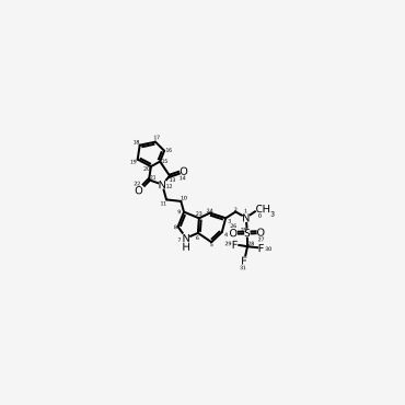 CN(Cc1ccc2[nH]cc(CCN3C(=O)c4ccccc4C3=O)c2c1)S(=O)(=O)C(F)(F)F